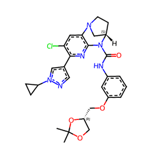 CC1(C)OC[C@@H](COc2cccc(NC(=O)N3c4nc(-c5cnn(C6CC6)c5)c(Cl)cc4N4CC[C@H]3C4)c2)O1